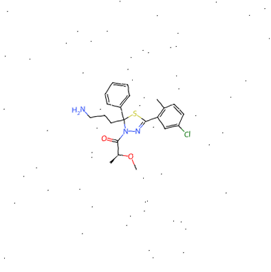 CO[C@@H](C)C(=O)N1N=C(c2cc(Cl)ccc2C)SC1(CCCN)c1ccccc1